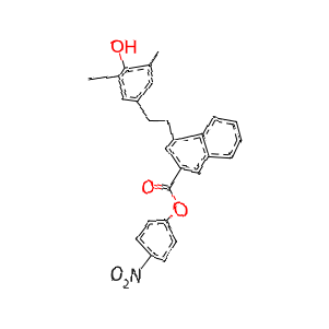 Cc1cc(CCc2cc(C(=O)Oc3ccc([N+](=O)[O-])cc3)cc3ccccc23)cc(C)c1O